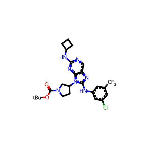 CC(C)(C)OC(=O)N1CCC(n2c(Nc3cc(Cl)cc(C(F)(F)F)c3)nc3cnc(NC4CCC4)nc32)C1